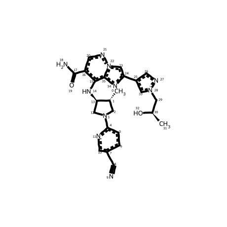 C[C@@H]1CN(c2ccc(C#N)cn2)C[C@H]1Nc1c(C(N)=O)cnn2cc(-c3cnn(C[C@@H](C)O)c3)nc12